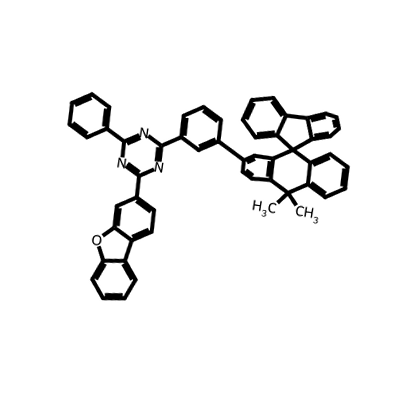 CC1(C)c2ccccc2C2(c3ccccc3-c3ccccc32)c2cc(-c3cccc(-c4nc(-c5ccccc5)nc(-c5ccc6c(c5)oc5ccccc56)n4)c3)ccc21